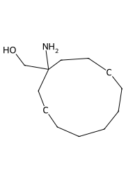 NC1(CO)CCCCCCCCCC1